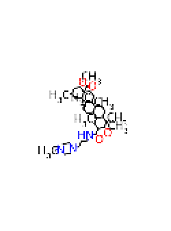 COC(=O)C12CCC(C)CC1C1=CCC3C4(C)CC(C(=O)NCCCN5CCN(C)CC5)C(=O)C(C)(C)C4CCC3(C)[C@]1(C)CC2